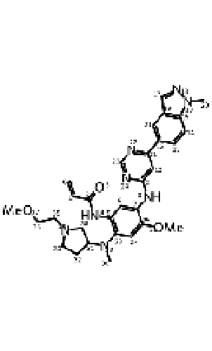 C=CC(=O)Nc1cc(Nc2cc(-c3ccc4c(cnn4C)c3)ncn2)c(OC)cc1N(C)C1CCN(CCOC)C1